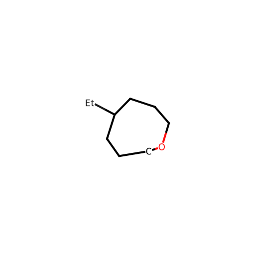 CCC1CCCOCCC1